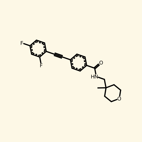 CC1(CNC(=O)c2ccc(C#Cc3ccc(F)cc3F)cc2)CCOCC1